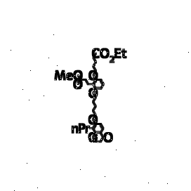 CCCc1c(OCCCCCOc2cccc(OCCCCC(=O)OCC)c2CCC(=O)OC)ccc2c1OCCC2=O